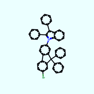 Brc1ccc2c(c1)C(c1ccccc1)(c1ccccc1)c1cc(-n3c(-c4ccccc4)c(-c4ccccc4)c4ccccc43)ccc1-2